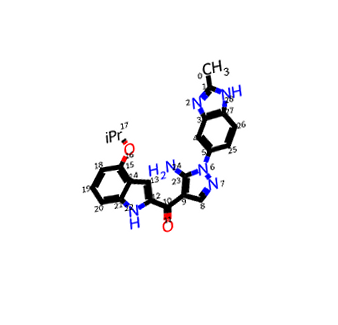 Cc1nc2cc(-n3ncc(C(=O)c4cc5c(OC(C)C)cccc5[nH]4)c3N)ccc2[nH]1